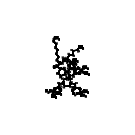 CCCCCCCCN(CCCCCCCC)C(=O)[C@H]1CC[C@H](C2(N(CC(=O)OC(C)(C)C)CC(=O)OC(C)(C)C)CN(CC(=O)OC(C)(C)C)CCN(CC(=O)OC(C)(C)C)C2)CC1